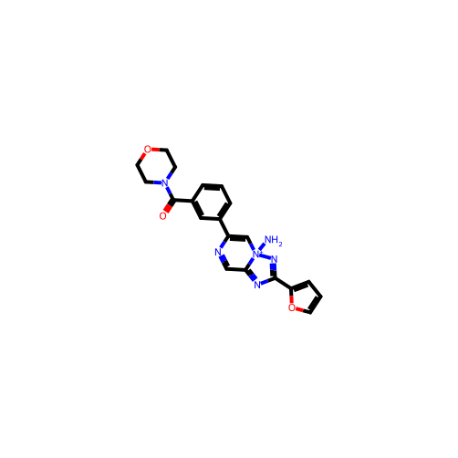 N[N+]12C=C(c3cccc(C(=O)N4CCOCC4)c3)N=CC1=NC(c1ccco1)=N2